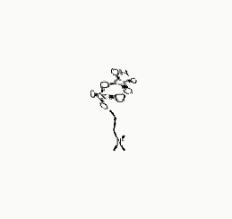 C[N+](C)(C)CC[O][Cr](=[O])(=[O])[O][Cr](=[O])(=[O])[OH]